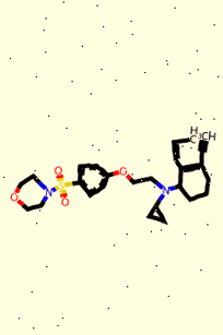 C#CC1=C(/C=C\C)C(N(CCOc2ccc(S(=O)(=O)N3CCOCC3)cc2)C2CC2)CCC1